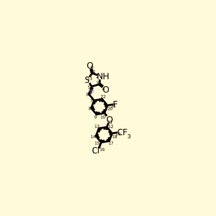 O=C1NC(=O)/C(=C\c2ccc(Oc3ccc(Cl)cc3C(F)(F)F)c(F)c2)S1